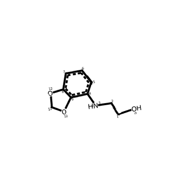 OCCNc1cccc2c1OCO2